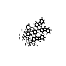 CC(C)(C)c1cc2c3c(c1)C1(C)CCCCC1(C)N3c1cc(N(c3ccc4c(c3)sc3ccccc34)c3cccc4c3oc3ccccc34)cc3c1B2c1cc(C(C)(C)C)cc2c4oc5ccccc5c4n-3c12